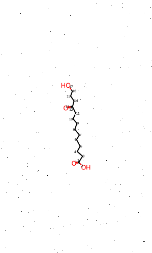 O=C(O)CCCCCCCCCC(=O)CCCO